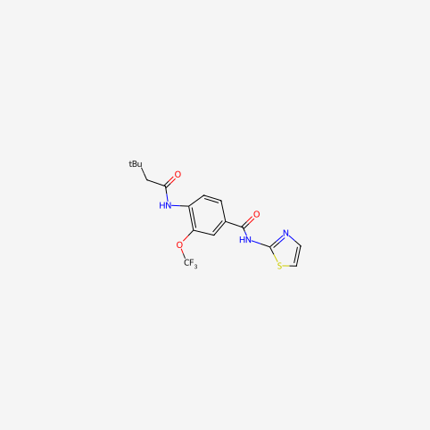 CC(C)(C)CC(=O)Nc1ccc(C(=O)Nc2nccs2)cc1OC(F)(F)F